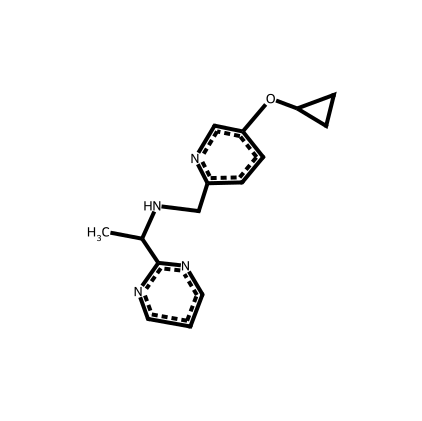 CC(NCc1ccc(OC2CC2)cn1)c1ncccn1